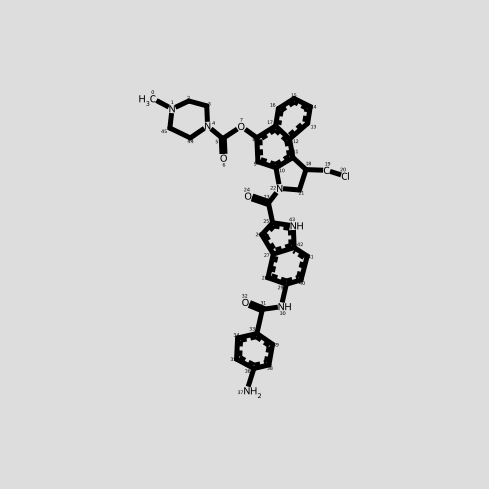 CN1CCN(C(=O)Oc2cc3c(c4ccccc24)C(CCl)CN3C(=O)c2cc3cc(NC(=O)c4ccc(N)cc4)ccc3[nH]2)CC1